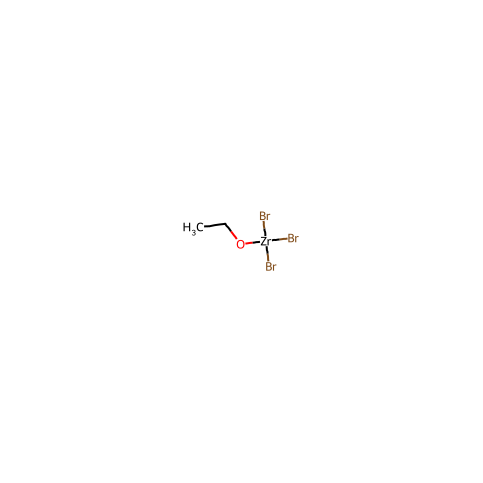 CC[O][Zr]([Br])([Br])[Br]